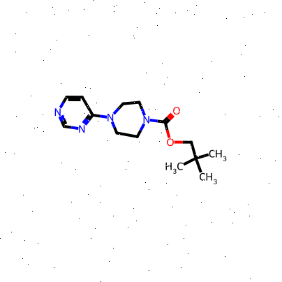 CC(C)(C)COC(=O)N1CCN(c2ccncn2)CC1